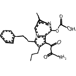 CCCc1c(C(=O)C(N)=O)c2c(OC(=O)O)nc(C)cn2c1CCc1ccccc1